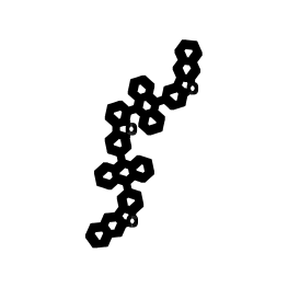 c1ccc2cc3c(cc2c1)oc1ccc(-c2c4ccccc4c(-c4ccc5c(c4)oc4c(-c6c7ccccc7c(-c7ccc8oc9cc%10ccccc%10cc9c8c7)c7ccccc67)cccc45)c4ccccc24)cc13